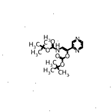 CC(C)(C)OC(=O)NC=C(OC(=O)OC(C)(C)C)c1cnccn1